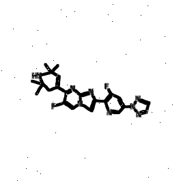 CC1(C)C=C(c2nc3nc(-c4ncc(-n5nccn5)cc4F)cn3cc2F)CC(C)(C)N1